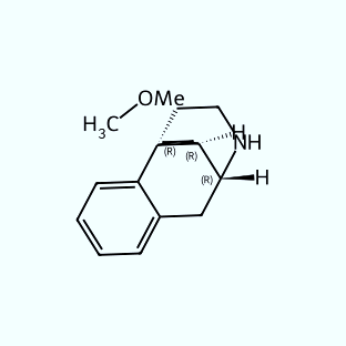 COC.c1ccc2c(c1)C[C@H]1NCC[C@@]23CCCC[C@@H]13